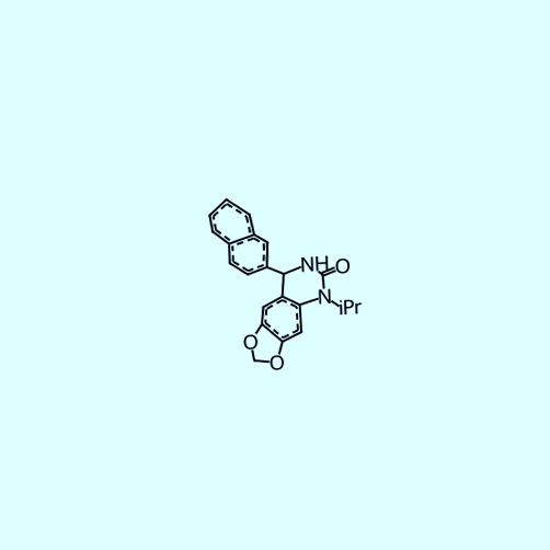 CC(C)N1C(=O)NC(c2ccc3ccccc3c2)c2cc3c(cc21)OCO3